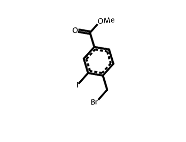 COC(=O)c1ccc(CBr)c(I)c1